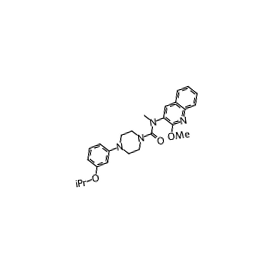 COc1nc2ccccc2cc1N(C)C(=O)N1CCN(c2cccc(OC(C)C)c2)CC1